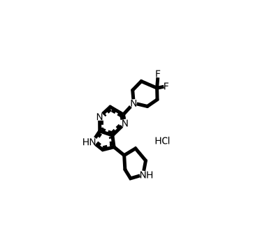 Cl.FC1(F)CCN(c2cnc3[nH]cc(C4CCNCC4)c3n2)CC1